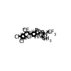 CC(NC(=O)c1ccc(/C=C/C(c2cc(Cl)c(Cl)cc2Cl)C(F)(F)F)cc1Br)C(=O)NCC(F)(F)F